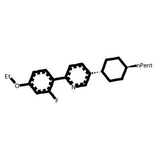 CCCCC[C@H]1CC[C@H](c2ccc(-c3ccc(OCC)cc3F)nc2)CC1